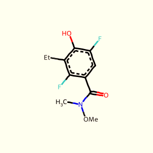 CCc1c(O)c(F)cc(C(=O)N(C)OC)c1F